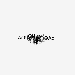 CC(=O)OC[C@H](O)[C@H]1CC[C@H]2[C@@H]3CCC4C[C@@H](OC(C)=O)CC[C@]4(C)[C@H]3CC[C@]12C